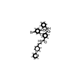 O=C(NCCC1CCN(c2ccccn2)CC1)c1ccc(S(=O)(=O)Nc2ccccc2Oc2ccc(Br)cc2Cl)cc1